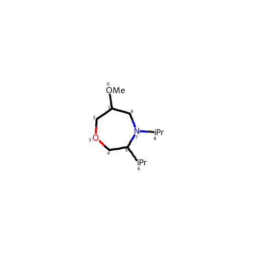 COC1COCC(C(C)C)N(C(C)C)C1